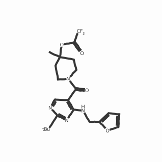 CC1(OC(=O)C(F)(F)F)CCN(C(=O)c2cnc(C(C)(C)C)nc2NCc2ccco2)CC1